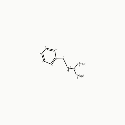 CCCCCCCC(CCCCCC)NCc1ccccc1